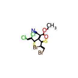 CCOC(=O)C(C#N)=C(C(=S)C(Cl)=CCl)C(=S)C(Br)=CBr